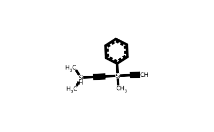 C#C[Si](C)(C#C[SiH](C)C)c1ccccc1